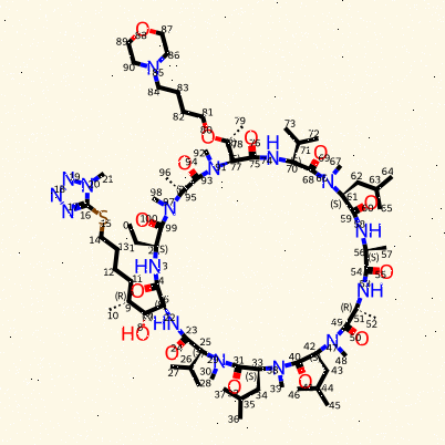 CC[C@@H]1NC(=O)[C@H]([C@H](O)[C@H](C)CCCCSc2nnnn2C)NC(=O)[C@H](C(C)C)N(C)C(=O)[C@H](CC(C)C)N(C)C(=O)[C@H](CC(C)C)N(C)C(=O)[C@@H](C)NC(=O)[C@H](C)NC(=O)[C@H](CC(C)C)N(C)C(=O)[C@H](C(C)C)NC(=O)[C@H]([C@@H](C)OCCCCN2CCOCC2)N(C)C(=O)[C@@H](C)N(C)C1=O